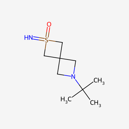 CC(C)(C)N1CC2(C1)CS(=N)(=O)C2